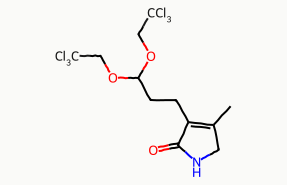 CC1=C(CCC(OCC(Cl)(Cl)Cl)OCC(Cl)(Cl)Cl)C(=O)NC1